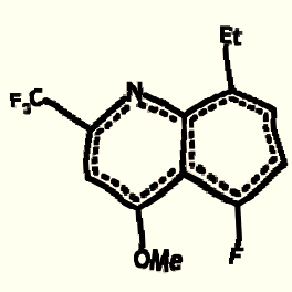 CCc1ccc(F)c2c(OC)cc(C(F)(F)F)nc12